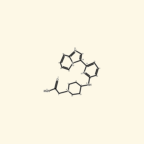 CNC(=O)CN1CCC(Nc2cccc(-c3cnc4ccccn34)n2)CC1